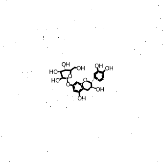 OCC1O[C@@H](Oc2cc(O)c3c(c2)O[C@H](c2ccc(O)c(O)c2)[C@@H](O)C3)C(O)[C@@H](O)[C@@H]1O